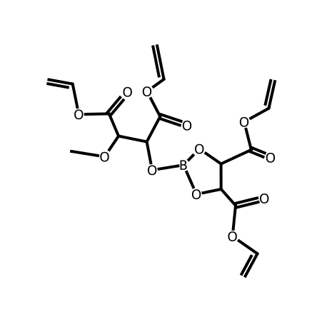 C=COC(=O)C(OC)C(OB1OC(C(=O)OC=C)C(C(=O)OC=C)O1)C(=O)OC=C